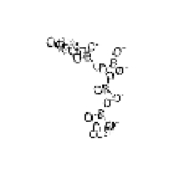 [Cu+2].[Cu+2].[Cu+2].[Cu+2].[Cu+2].[Cu+2].[O-]B([O-])[O-].[O-]B([O-])[O-].[O-]B([O-])[O-].[O-]B([O-])[O-]